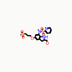 CN(c1cc(OCCCS(C)(=O)=O)cc2c1NC(C=O)C2)S(=O)(=O)c1ccccn1